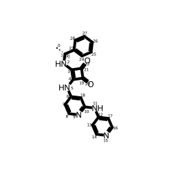 C[C@@H](Nc1c(Nc2ccnc(Nc3ccncc3)c2)c(=O)c1=O)c1ccccc1